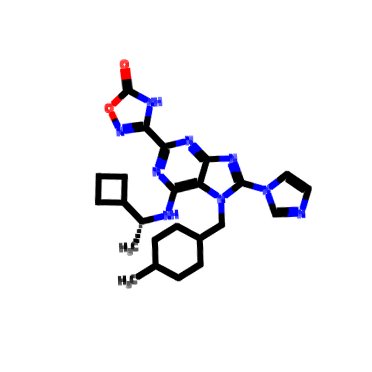 CC1CCC(Cn2c(-n3ccnc3)nc3nc(-c4noc(=O)[nH]4)nc(N[C@H](C)C4CCC4)c32)CC1